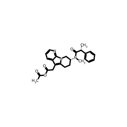 CC(=O)OC(=O)Cc1c2n(c3ncccc13)C[C@H](N(C)C(=O)[C@H](C)c1ccccc1)CC2